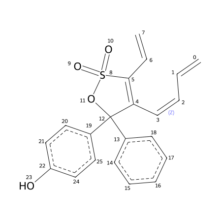 C=C/C=C\C1=C(C=C)S(=O)(=O)OC1(c1ccccc1)c1ccc(O)cc1